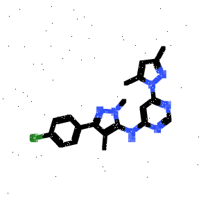 Cc1cc(C)n(-c2cc(Nc3c(C)c(-c4ccc(Cl)cc4)nn3C)ncn2)n1